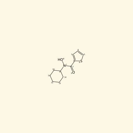 O=C(c1cccs1)N(O)C1CCCCC1